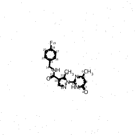 Cc1cc(=O)[nH]c(-n2ncc(C(=O)NCc3ccc(F)cc3)c2C)n1